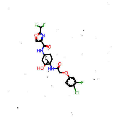 O=C(COc1ccc(Cl)c(F)c1)NC12CCC(NC(=O)c3coc(C(F)F)n3)(CC1)CC2O